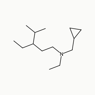 CCC(CCN(CC)CC1CC1)C(C)C